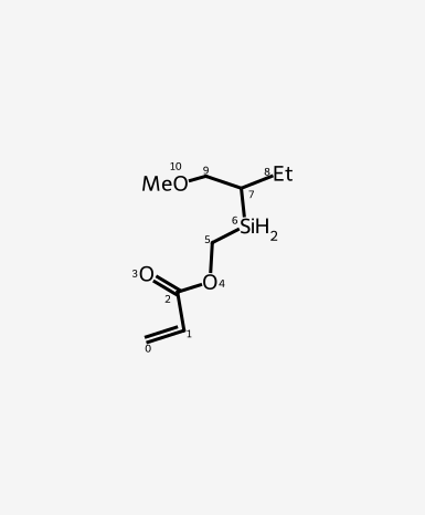 C=CC(=O)OC[SiH2]C(CC)COC